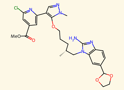 COC(=O)c1cc(Cl)nc(-c2cnn(C)c2OCCC[C@@H](C)Cn2c(N)nc3ccc(C4OCCO4)cc32)c1